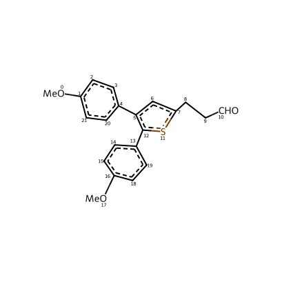 COc1ccc(-c2cc(CCC=O)sc2-c2ccc(OC)cc2)cc1